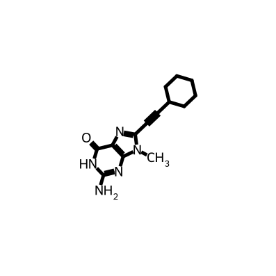 Cn1c(C#CC2CCCCC2)nc2c(=O)[nH]c(N)nc21